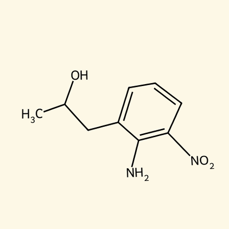 CC(O)Cc1cccc([N+](=O)[O-])c1N